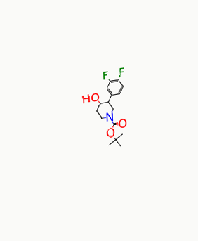 CC(C)(C)OC(=O)N1CCC(O)C(c2ccc(F)c(F)c2)C1